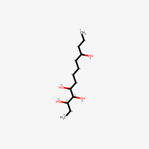 CCCC(O)CCCCC(O)C(O)C(O)CC